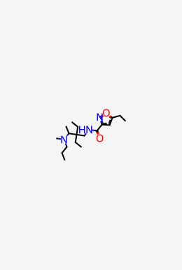 CCCN(C)C(C)C(CC)(CC)CNC(=O)c1cc(CC)on1